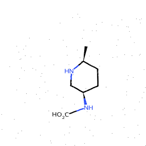 C[C@H]1CC[C@@H](NC(=O)O)CN1